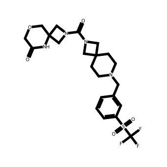 O=C1COCC2(CN(C(=O)N3CC4(CCN(Cc5cccc(S(=O)(=O)C(F)(F)F)c5)CC4)C3)C2)N1